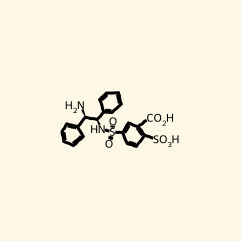 N[C@H](c1ccccc1)[C@H](NS(=O)(=O)c1ccc(S(=O)(=O)O)c(C(=O)O)c1)c1ccccc1